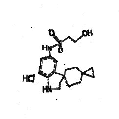 Cl.O=S(=O)(CCO)Nc1ccc2c(c1)C1(CCC3(CC3)CC1)CN2